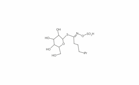 CC(C)CCC/C(=N\OS(=O)(=O)O)SC1OC(CO)C(O)C(O)C1O